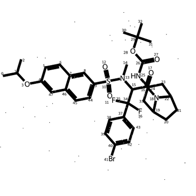 CC(C)Oc1ccc2cc(S(=O)(=O)N(C)C(C(=O)N3C4CCC3CC(NC(=O)OC(C)(C)C)C4)C(F)(F)c3ccc(Br)cc3)ccc2c1